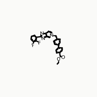 CCOC(=O)c1ccc(-c2ccc(Cn3ccc4nc(-c5cccc(F)c5F)nc-4c3)cc2)cc1